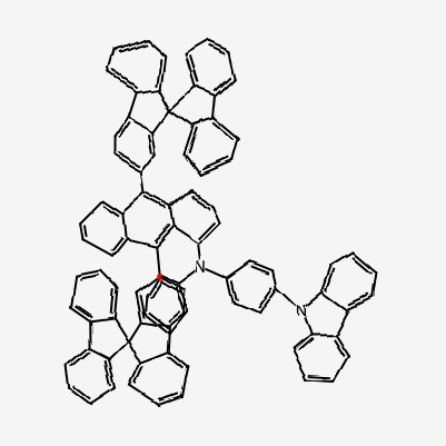 c1ccc(N(c2ccc(-n3c4ccccc4c4ccccc43)cc2)c2cccc3c(-c4ccc5c(c4)C4(c6ccccc6-c6ccccc64)c4ccccc4-5)c4ccccc4c(-c4ccc5c(c4)C4(c6ccccc6-c6ccccc64)c4ccccc4-5)c23)cc1